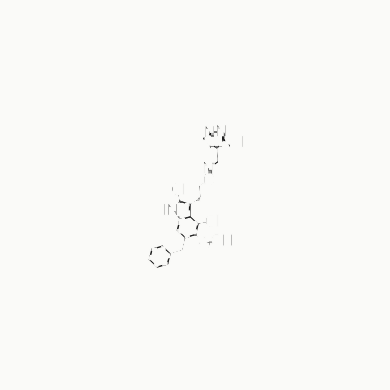 COc1c(Cc2ccccc2)cc2[nH]c(C)c(CCON=Cc3nnn[nH]3)c2c1Cl